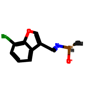 CC(C)(C)[S@+]([O-])N=Cc1coc2c(Br)cccc12